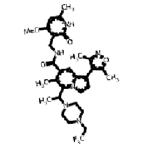 COc1cc(C)[nH]c(=O)c1CNC(=O)c1cc2c(-c3c(C)noc3C)ccn2c(C(C)N2CCN(CC(F)(F)F)CC2)c1C